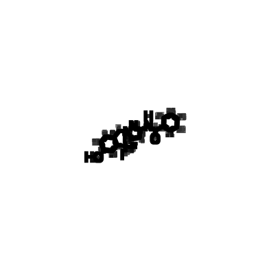 O=C(Nc1ccn(Cc2ccc(O)cc2C(F)(F)F)n1)c1ccccc1